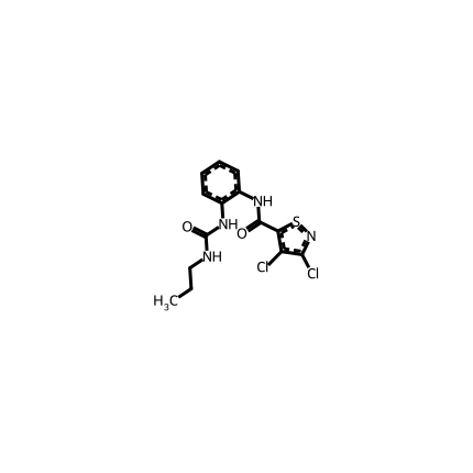 CCCNC(=O)Nc1ccccc1NC(=O)c1snc(Cl)c1Cl